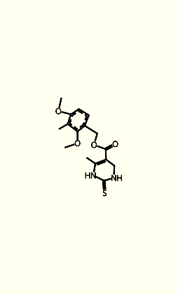 COc1ccc(COC(=O)C2=C(C)NC(=S)NC2)c(OC)c1C